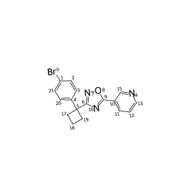 Brc1ccc(C2(c3noc(-c4cccnc4)n3)CCC2)cc1